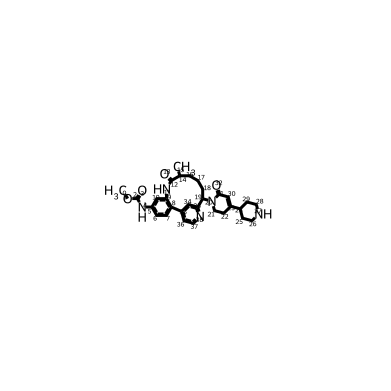 COC(=O)Nc1ccc2c(c1)NC(=O)C(C)CCCC(N1CCC(C3CCNCC3)=CC1=O)c1cc-2ccn1